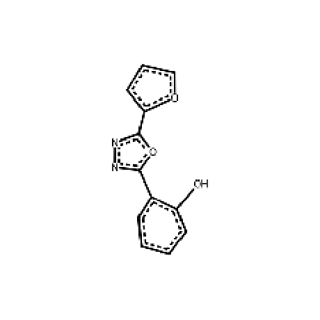 Oc1ccccc1-c1nnc(-c2ccco2)o1